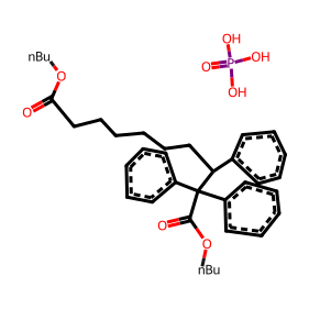 CCCCOC(=O)CCCCCCC(c1ccccc1)C(C(=O)OCCCC)(c1ccccc1)c1ccccc1.O=P(O)(O)O